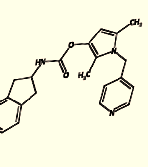 Cc1cc(OC(=O)NC2Cc3ccccc3C2)c(C)n1Cc1ccncc1